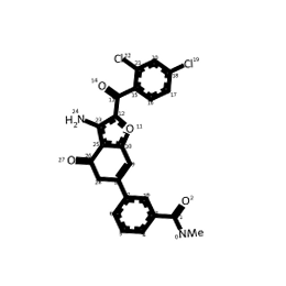 CNC(=O)c1cccc(C2=Cc3oc(C(=O)c4ccc(Cl)cc4Cl)c(N)c3C(=O)C2)c1